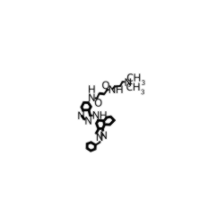 CN(C)CCCNC(=O)C=CC(=O)Nc1ccc2ncnc(Nc3cc4cn(Cc5ccccc5)nc4c4ccccc34)c2c1